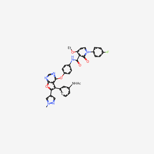 CCOc1ccn(-c2ccc(F)cc2)c(=O)c1C(=O)Nc1ccc(Oc2ncnc3oc(-c4cnn(C)c4)c(-c4cccc(NC(C)=O)c4)c23)cc1